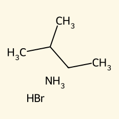 Br.CCC(C)C.N